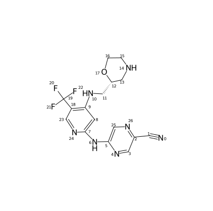 N#Cc1cnc(Nc2cc(NC[C@H]3CNCCO3)c(C(F)(F)F)cn2)cn1